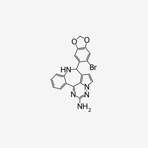 Nc1nc2c3c(ccn3n1)C(c1cc3c(cc1Br)OCO3)Nc1ccccc1-2